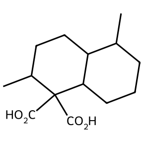 CC1CCCC2C1CCC(C)C2(C(=O)O)C(=O)O